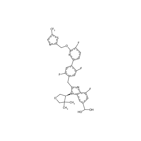 CC1(C)COC[C@H]1n1c(Cc2cc(F)c(-c3ccc(F)c(OCc4ncc(C(F)(F)F)s4)n3)cc2F)nc2c(F)cc(C(O)O)cc21